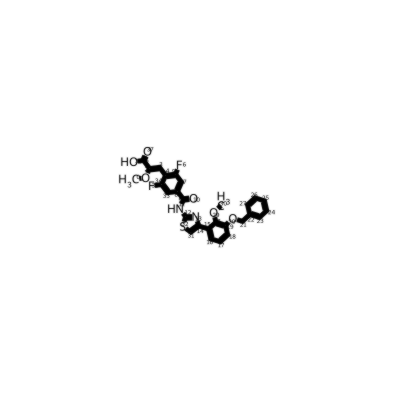 CO/C(=C\c1c(F)cc(C(=O)Nc2nc(-c3cccc(OCc4ccccc4)c3OC)cs2)cc1F)C(=O)O